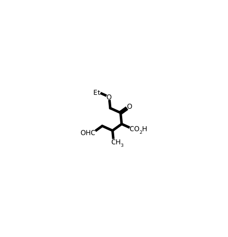 CCOCC(=O)C(C(=O)O)C(C)CC=O